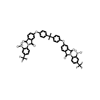 CC(C)(c1ccc(Oc2ccc3c(c2)C(=O)N(c2ccc(C(F)(F)F)cc2[N+](=O)[O-])C3=O)cc1)c1ccc(Oc2ccc3c(c2)C(=O)N(c2ccc(C(F)(F)F)cc2[N+](=O)[O-])C3=O)cc1